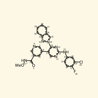 CONC(=O)c1cncc(-c2cnc(Nc3ccc(F)c(Cl)c3)nc2-n2cc3ccccc3n2)c1